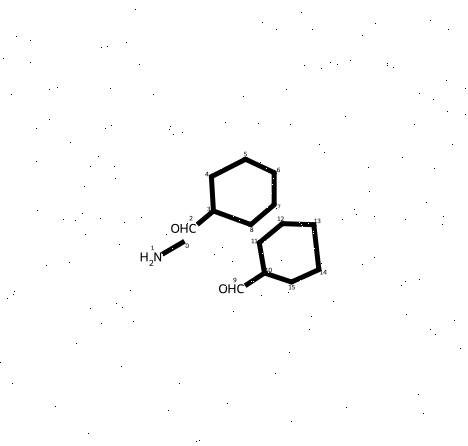 CN.O=CC1CCCCC1.O=CC1CCCCC1